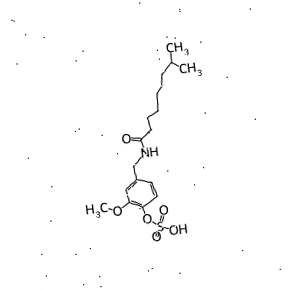 COc1cc(CNC(=O)CCCCCCC(C)C)ccc1OS(=O)(=O)O